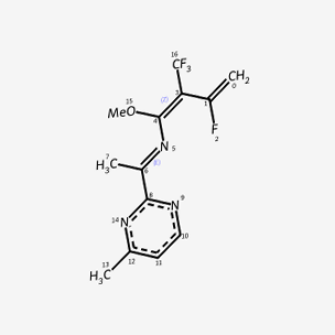 C=C(F)/C(=C(\N=C(/C)c1nccc(C)n1)OC)C(F)(F)F